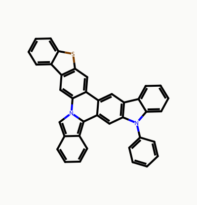 c1ccc(-n2c3ccccc3c3cc4c5cc6sc7ccccc7c6cc5n5cc6ccccc6c5c4cc32)cc1